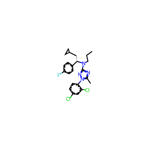 CCCN(c1nc(C)n(-c2ccc(Cl)cc2Cl)n1)[C@@H](CC1CC1)c1ccc(F)cc1